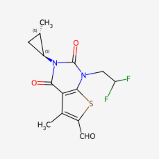 Cc1c(C=O)sc2c1c(=O)n([C@H]1C[C@@H]1C)c(=O)n2CC(F)F